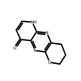 O=c1cc[nH]c2nc3c(nc12)OCCC3